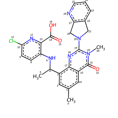 Cc1cc(C(C)Nc2ccc(Cl)nc2C(=O)O)c2nc(N3Cc4cccnc4C3)n(C)c(=O)c2c1